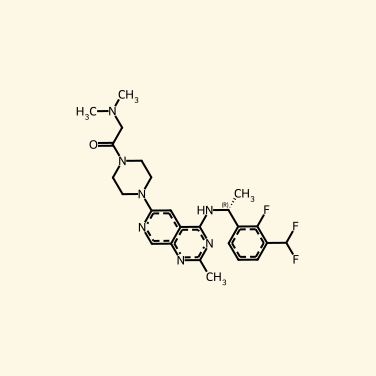 Cc1nc(N[C@H](C)c2cccc(C(F)F)c2F)c2cc(N3CCN(C(=O)CN(C)C)CC3)ncc2n1